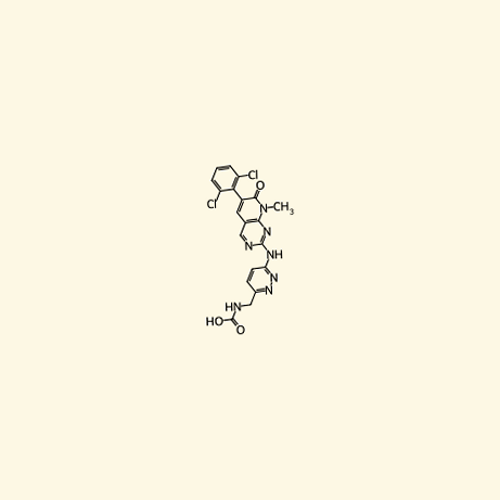 Cn1c(=O)c(-c2c(Cl)cccc2Cl)cc2cnc(Nc3ccc(CNC(=O)O)nn3)nc21